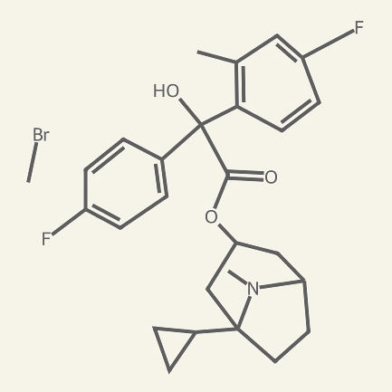 CBr.Cc1cc(F)ccc1C(O)(C(=O)OC1CC2CCC(C3CC3)(C1)N2C)c1ccc(F)cc1